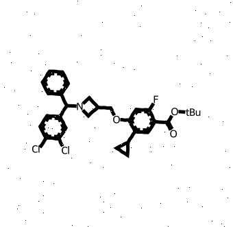 CC(C)(C)OC(=O)c1cc(C2CC2)c(OCC2CN(C(c3ccccc3)c3ccc(Cl)c(Cl)c3)C2)cc1F